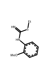 CCSC(=N)Nc1ccccc1OC